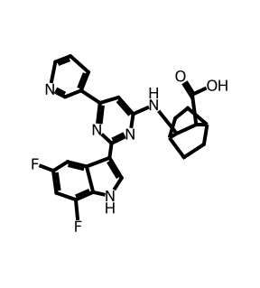 O=C(O)C1C2CCC(CC2)C1Nc1cc(-c2cccnc2)nc(-c2c[nH]c3c(F)cc(F)cc23)n1